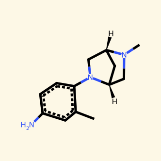 Cc1cc(N)ccc1N1C[C@H]2C[C@@H]1CN2C